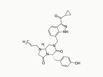 C=CCN1CC(=O)N2[C@@H]1CN(Cc1cccc3c(C(=O)C4CC4)n[nH]c13)C(=O)[C@@H]2Cc1ccc(O)cc1